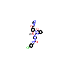 CC(C)Oc1ccc(C(=O)Cn2ccnc2)cc1-n1c(CN2CCN(C(=O)NCc3ccc(Cl)cc3)CC2)nc2ccccc2c1=O